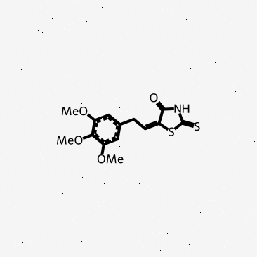 COc1cc(C/C=C2/SC(=S)NC2=O)cc(OC)c1OC